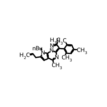 C=CCc1cc2c(C)nc3c(-c4c(C)cc(C)cc4C)c(C)nn3c2n1CCCC